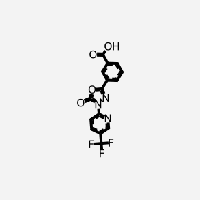 O=C(O)c1cccc(-c2nn(-c3ccc(C(F)(F)F)cn3)c(=O)o2)c1